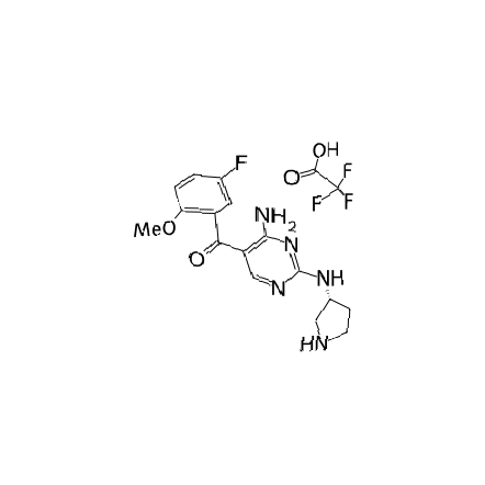 COc1ccc(F)cc1C(=O)c1cnc(N[C@@H]2CCNC2)nc1N.O=C(O)C(F)(F)F